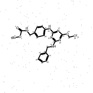 CC(C)(C)OC(=O)NCc1ccc(Nc2nc(NCc3ccccc3)nc(OCC(F)(F)F)n2)cc1